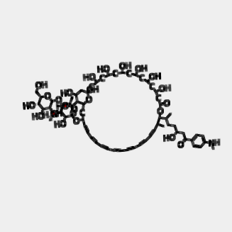 CNc1ccc(C(=O)CC(O)CCC(C)C2OC(=O)CC(O)CC(O)CC(O)CC(O)CC(O)CC(O)CC3(O)CC(O)C(C(=O)O)C(CC(O[C@@H]4O[C@H](C)[C@@H](O[C@@H]5O[C@H](CO)[C@@H](O)[C@H](O)[C@@H]5O)[C@H](N)[C@@H]4O)\C=C/C=C\C=C/C=C\C=C/C=C\C=C/C2C)O3)cc1